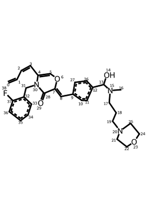 C=C/C=C\C1=CO/C(=C\c2ccc(C(O)N(C)CCCN3CCOCC3)cc2)C(=O)N1Cc1ccccc1F